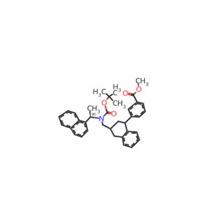 COC(=O)c1cccc(C2CC(CN(C(=O)OC(C)(C)C)[C@H](C)c3cccc4ccccc34)Cc3ccccc32)c1